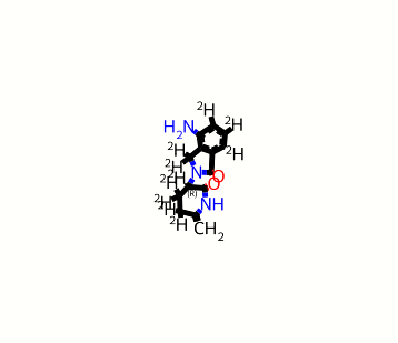 [2H]c1c([2H])c(N)c2c(c1[2H])C(=O)N([C@@]1([2H])C(=O)NC(=C)C([2H])([2H])C1([2H])[2H])C2([2H])[2H]